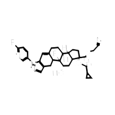 C[C@]12Cc3cnn(-c4ccc(F)nc4)c3C=C1CC[C@H]1[C@@H]3CC[C@](OC(=O)C4CC4)(C(=O)SCC#N)[C@@]3(C)C[C@H](O)[C@@]12F